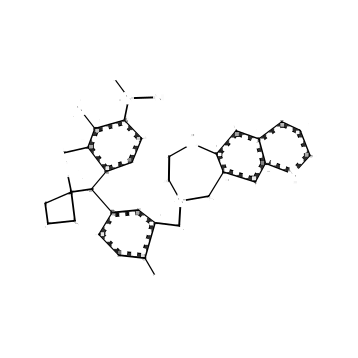 Cc1ccc(C(c2ccc(N(C)N)c(N)c2C)C2(C(=O)O)CCC2)cc1CN1CCOc2cc3cccnc3cc2C1